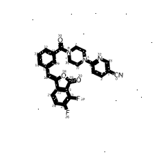 N#Cc1ccc(N2CCN(C(=O)c3cccc(/C=C4\OC(=O)c5c4ccc(F)c5F)c3)CC2)nc1